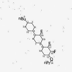 CCCCC1CCC(C2CCC(C3CCC(OCCC)C(F)C3F)CC2F)CC1